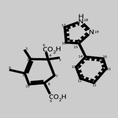 CC1=C(C)C(C)(C(=O)O)CC(C(=O)O)=C1.c1ccc(-c2cc[nH]n2)cc1